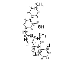 CN1CC=C(c2ccc(Nc3ncc4c(n3)N(C)CN(c3c(Cl)cccc3Cl)C4=O)cc2CO)CC1